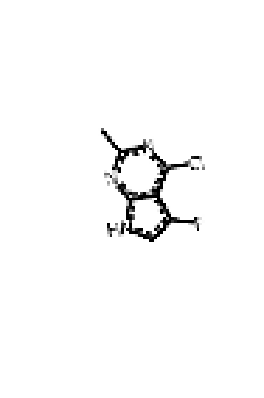 Cc1nc(Cl)c2c(F)c[nH]c2n1